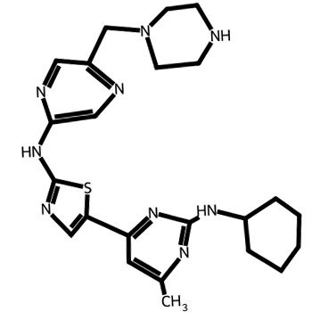 Cc1cc(-c2cnc(Nc3cnc(CN4CCNCC4)cn3)s2)nc(NC2CCCCC2)n1